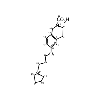 O=C(O)N1CCc2nc(OCCCN3CCCC3)ccc2C1